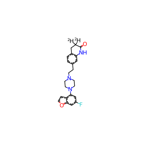 [2H]C1([2H])Cc2ccc(CCN3CCN(c4cc(F)cc5occc45)CC3)cc2NC1=O